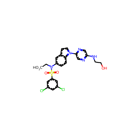 O=C(O)CN(c1ccc2c(ccn2-c2cnc(NCCO)cn2)c1)S(=O)(=O)c1cc(Cl)cc(Cl)c1